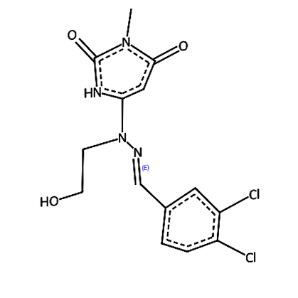 Cn1c(=O)cc(N(CCO)/N=C/c2ccc(Cl)c(Cl)c2)[nH]c1=O